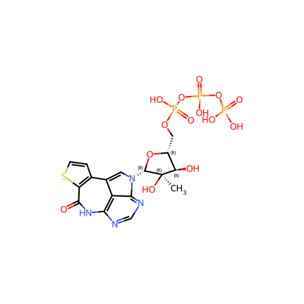 C[C@@]1(O)[C@H](O)[C@@H](COP(=O)(O)OP(=O)(O)OP(=O)(O)O)O[C@H]1n1cc2c3c(ncnc31)NC(=O)c1sccc1-2